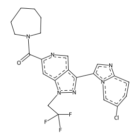 O=C(c1cc2c(cn1)c(-c1cnc3ccc(Cl)cn13)nn2CC(F)(F)F)N1CCCCCC1